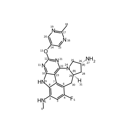 CNc1cc(F)c2c3c1[nH]c1nc(Oc4cnc(C)nc4)nc(c13)N1C[C@H](N)C[C@H]1C2